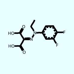 CCN(N=C(C(=O)O)C(=O)O)c1ccc(F)c(F)c1